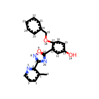 Cc1cccnc1-c1noc(-c2cc(O)ccc2OCc2ccccc2)n1